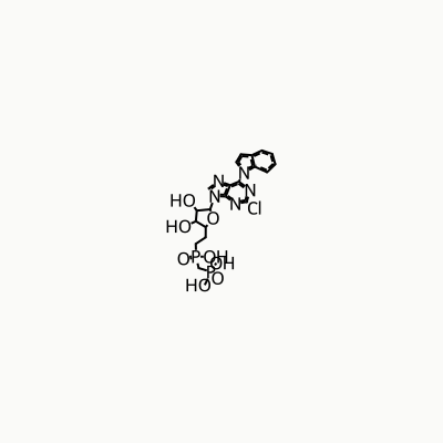 O=P(O)(O)CP(=O)(O)CCC1OC(n2cnc3c(-n4ccc5ccccc54)nc(Cl)nc32)C(O)C1O